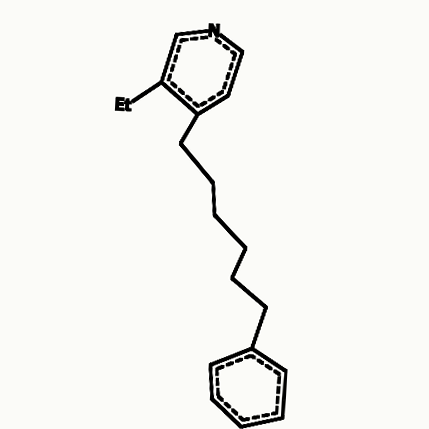 CCc1cnccc1CCCCCCc1ccccc1